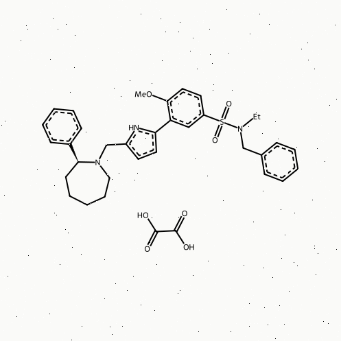 CCN(Cc1ccccc1)S(=O)(=O)c1ccc(OC)c(-c2ccc(CN3CCCCC[C@H]3c3ccccc3)[nH]2)c1.O=C(O)C(=O)O